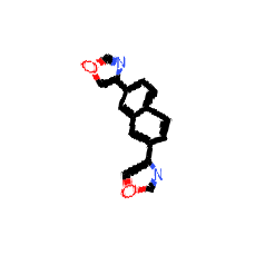 c1nc(-c2ccc3ccc(-c4cocn4)cc3c2)co1